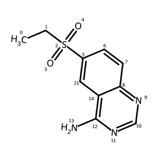 CCS(=O)(=O)c1ccc2ncnc(N)c2c1